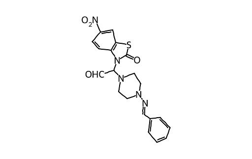 O=CC(N1CCN(N=Cc2ccccc2)CC1)n1c(=O)sc2cc([N+](=O)[O-])ccc21